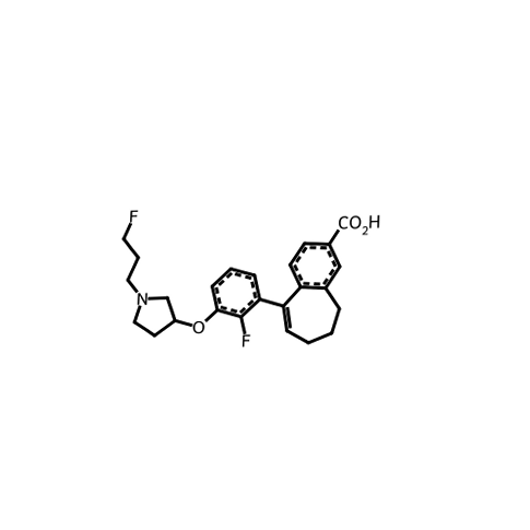 O=C(O)c1ccc2c(c1)CCCC=C2c1cccc(OC2CCN(CCCF)C2)c1F